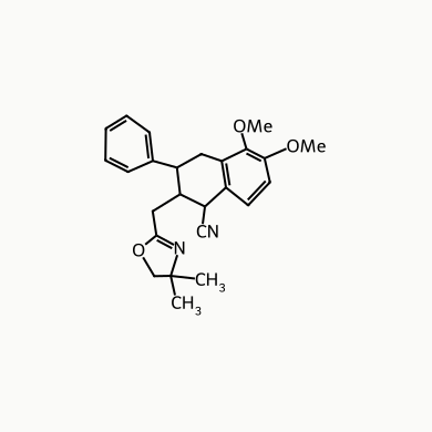 COc1ccc2c(c1OC)CC(c1ccccc1)C(CC1=NC(C)(C)CO1)C2C#N